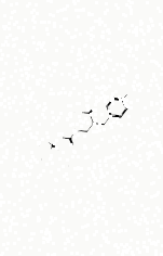 CC(C)(C)OC(=O)NCC(Cc1ccc(F)cc1)C(=O)O